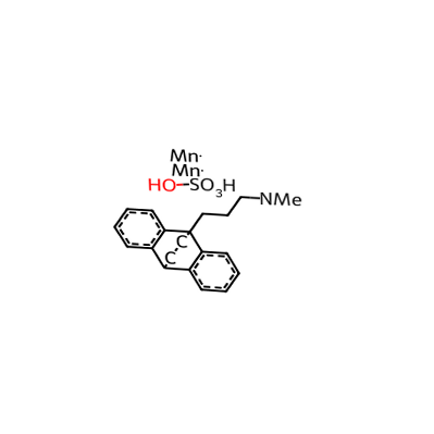 CNCCCC12CCC(c3ccccc31)c1ccccc12.O=S(=O)(O)O.[Mn].[Mn]